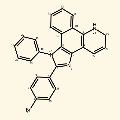 Brc1ccc(-c2nc3c4c(c5ccccc5c3n2-c2ccccc2)NCC=C4)cc1